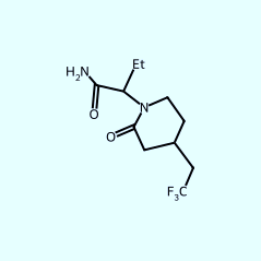 CCC(C(N)=O)N1CCC(CC(F)(F)F)CC1=O